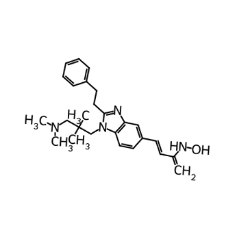 C=C(/C=C/c1ccc2c(c1)nc(CCc1ccccc1)n2CC(C)(C)CN(C)C)NO